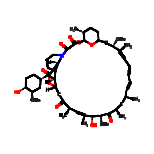 CO[C@H]1C[C@@H]2CC[C@@H](C)[C@@](O)(O2)C(=O)C(=O)N2CCCC3[C@H]2C(=O)O[C@@H](CC(=O)[C@H](C)/C=C(\C)[C@@H](O)[C@@H](OC)C(=O)[C@H](C)C[C@H](C)/C=C/C=C/C=C/1C)[C@H]3C[C@H]1CC[C@@H](O)[C@H](OC)C1